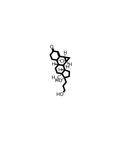 C[C@]12CCC(=O)C=C1[C@H]1C[C@H]1[C@@H]1[C@@H]2CC[C@@]2(C)[C@H]1CC[C@@]2(O)CCCO